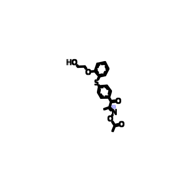 CC(=O)O/N=C(\C)C(=O)c1ccc(Sc2ccccc2OCCO)cc1